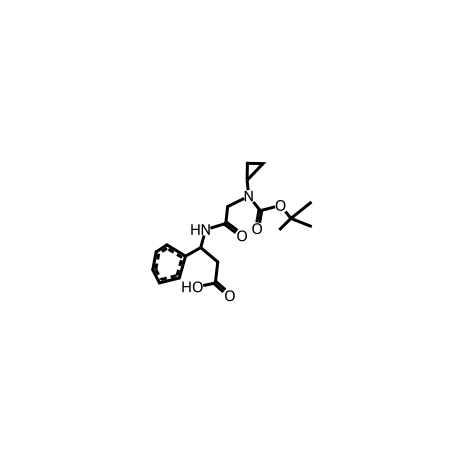 CC(C)(C)OC(=O)N(CC(=O)NC(CC(=O)O)c1ccccc1)C1CC1